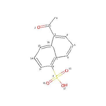 CC(=O)c1cccc2c(S(=O)(=O)O)cccc12